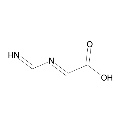 N=C/N=C/C(=O)O